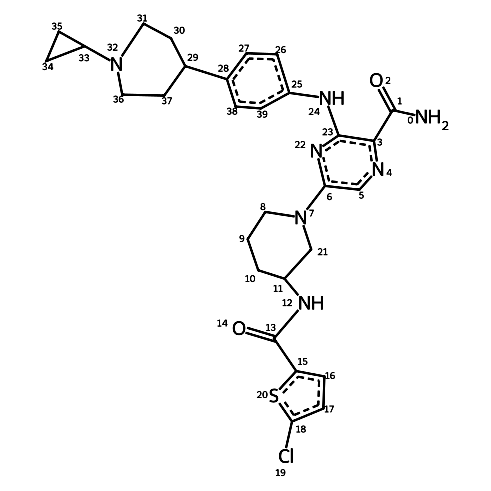 NC(=O)c1ncc(N2CCCC(NC(=O)c3ccc(Cl)s3)C2)nc1Nc1ccc(C2CCN(C3CC3)CC2)cc1